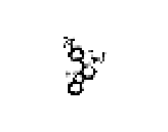 COC(=O)N1CCc2c([nH]c3ccccc23)C1c1ccc([Si](C)(C)C)cc1